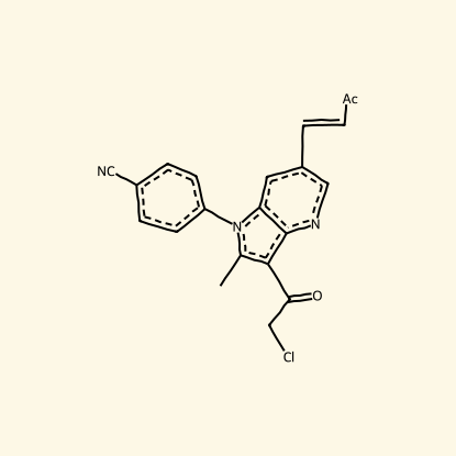 CC(=O)/C=C/c1cnc2c(C(=O)CCl)c(C)n(-c3ccc(C#N)cc3)c2c1